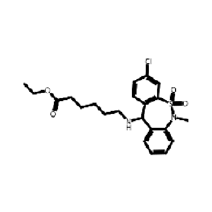 CCOC(=O)CCCCCNC1c2ccccc2N(C)S(=O)(=O)c2cc(Cl)ccc21